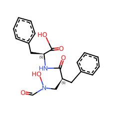 O=CN(O)C[C@H](Cc1ccccc1)C(=O)N[C@@H](Cc1ccccc1)C(=O)O